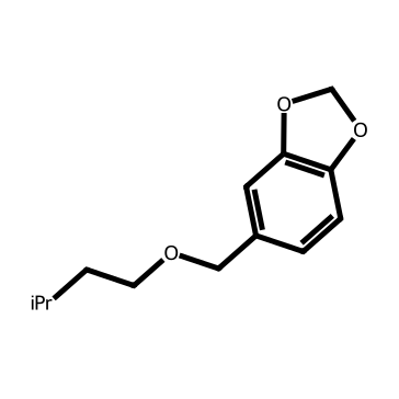 CC(C)CCOCc1ccc2c(c1)OCO2